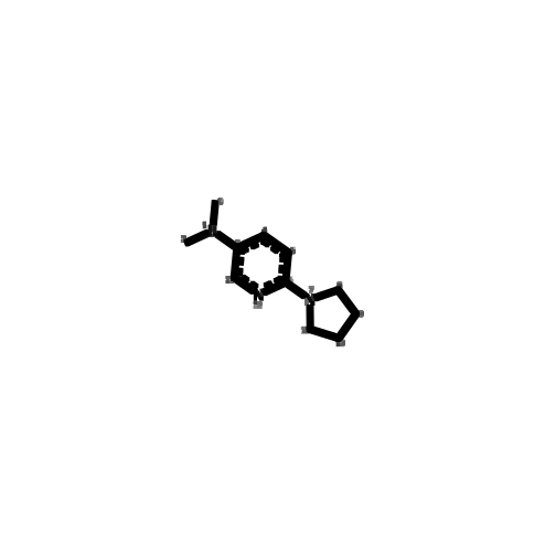 CB(C)c1ccc(N2CCCC2)nc1